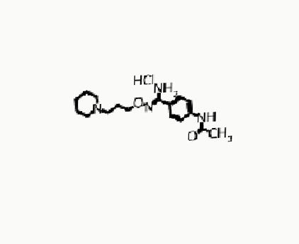 CC(=O)Nc1ccc(C(N)=NOCCCN2CCCCC2)cc1.Cl